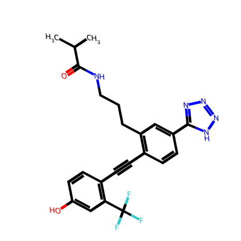 CC(C)C(=O)NCCCc1cc(-c2nnn[nH]2)ccc1C#Cc1ccc(O)cc1C(F)(F)F